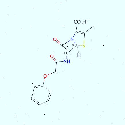 CC1=C(C(=O)O)N2C(=O)[C@@H](NC(=O)COc3ccccc3)[C@@H]2S1